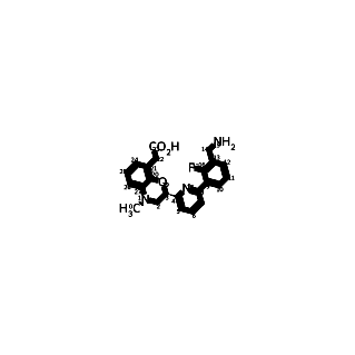 CN1C[C@@H](c2cccc(-c3cccc(CN)c3F)n2)Oc2c(CC(=O)O)cccc21